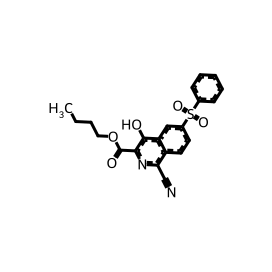 CCCCOC(=O)c1nc(C#N)c2ccc(S(=O)(=O)c3ccccc3)cc2c1O